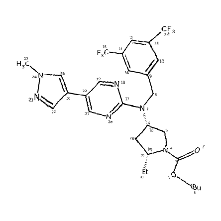 CCC(C)OC(=O)N1C[C@@H](N(Cc2cc(C(F)(F)F)cc(C(F)(F)F)c2)c2ncc(-c3cnn(C)c3)cn2)C[C@H]1CC